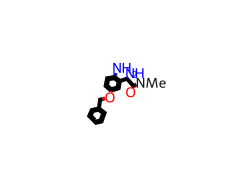 CNC(=O)C(=N)c1cc(OCc2ccccc2)ccc1N